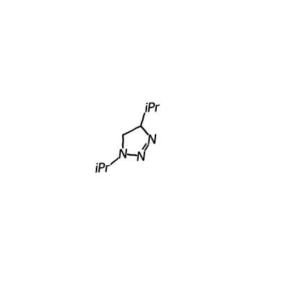 CC(C)C1CN(C(C)C)N=N1